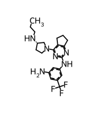 CCCN[C@H]1CCN(c2nc(Nc3cc(N)cc(C(F)(F)F)c3)nc3c2CCC3)C1